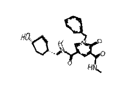 CNC(=O)c1cc(C(=O)NC[C@H]2CC[C@@H](O)CC2)cn(Cc2ccccc2)c1=O